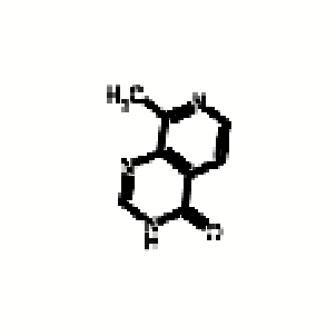 Cc1nccc2c(=O)[nH]cnc12